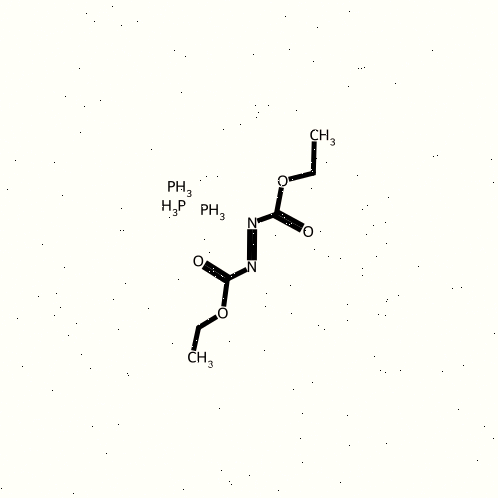 CCOC(=O)N=NC(=O)OCC.P.P.P